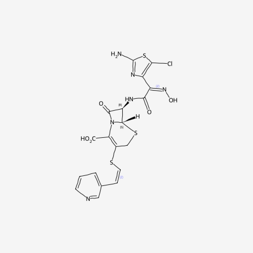 Nc1nc(/C(=N/O)C(=O)N[C@@H]2C(=O)N3C(C(=O)O)=C(S/C=C\c4cccnc4)CS[C@@H]23)c(Cl)s1